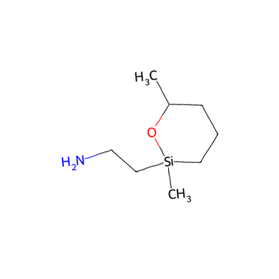 CC1CCC[Si](C)(CCN)O1